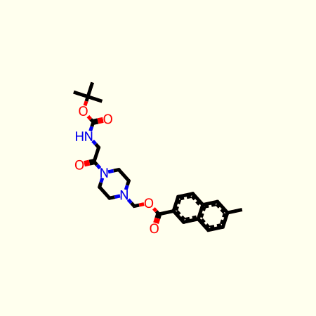 Cc1ccc2cc(C(=O)OCN3CCN(C(=O)CNC(=O)OC(C)(C)C)CC3)ccc2c1